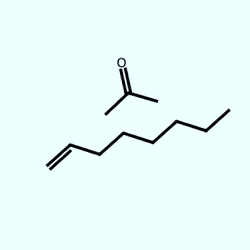 C=CCCCCCC.CC(C)=O